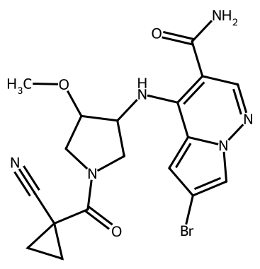 COC1CN(C(=O)C2(C#N)CC2)CC1Nc1c(C(N)=O)cnn2cc(Br)cc12